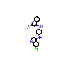 FC(F)(F)c1cc(N[C@H]2CC[C@@H](Nc3ccnc4cc(Cl)ccc34)CC2)c2ccccc2n1